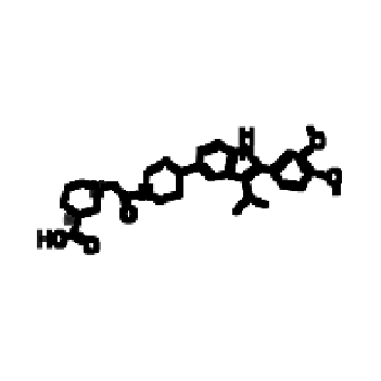 COc1ccc(-c2[nH]c3ccc(C4CCN(C(=O)CN5CCC[C@H](C(=O)O)C5)CC4)cc3c2C(C)C)cc1OC